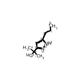 CCCc1cc(C(C)(C)O)n[nH]1